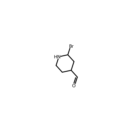 O=CC1CCNC(Br)C1